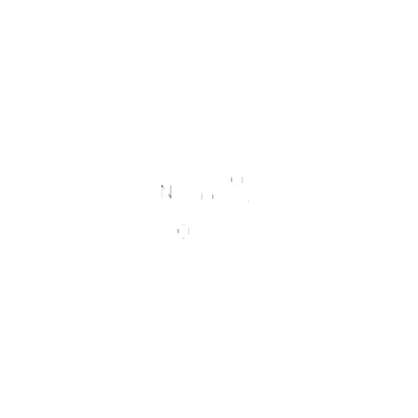 O=C(OCC12Cc3ccccc3CCC1O2)N(c1ccccc1)c1ccccc1